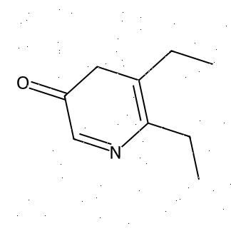 CCC1=C(CC)N=CC(=O)C1